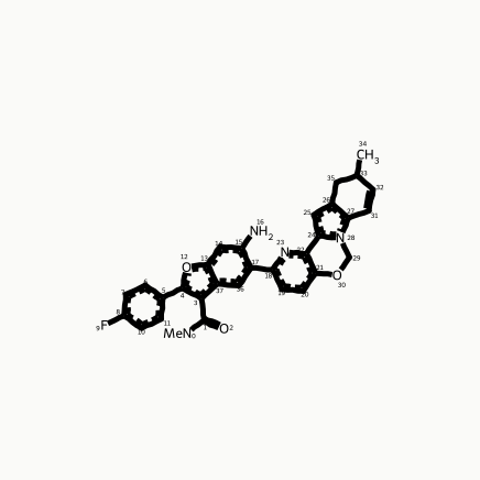 CNC(=O)c1c(-c2ccc(F)cc2)oc2cc(N)c(-c3ccc4c(n3)-c3cc5c(n3CO4)C=CC(C)C5)cc12